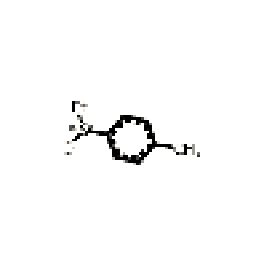 CC[S@+]([O-])c1ccc(C)cc1